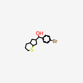 OC(c1ccc(Br)cc1)C1CC2CCCSC2C1